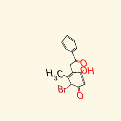 CC1=C(CC(=O)c2ccccc2)C(O)=CC(=O)C1Br